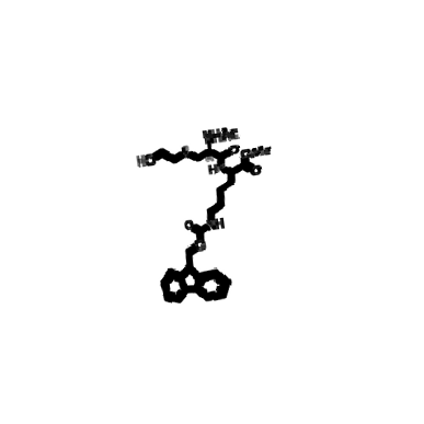 COC(=O)C(CCCCNC(=O)OCC1c2ccccc2-c2ccccc21)NC(=O)[C@H](CSCCO)NC(C)=O